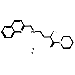 Cl.Cl.NC(CCNCc1ccc2ccccc2n1)C(=O)N1CCCCC1